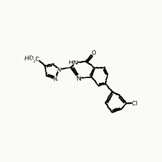 O=C(O)c1cnn(-c2nc3cc(-c4cccc(Cl)c4)ccc3c(=O)[nH]2)c1